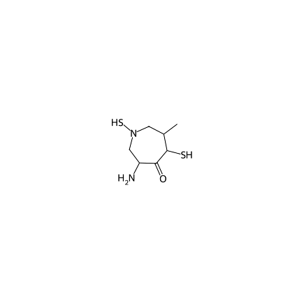 CC1CN(S)CC(N)C(=O)C1S